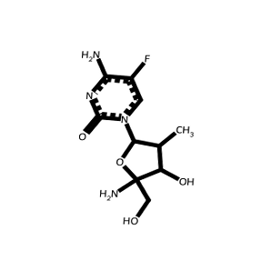 CC1C(n2cc(F)c(N)nc2=O)OC(N)(CO)C1O